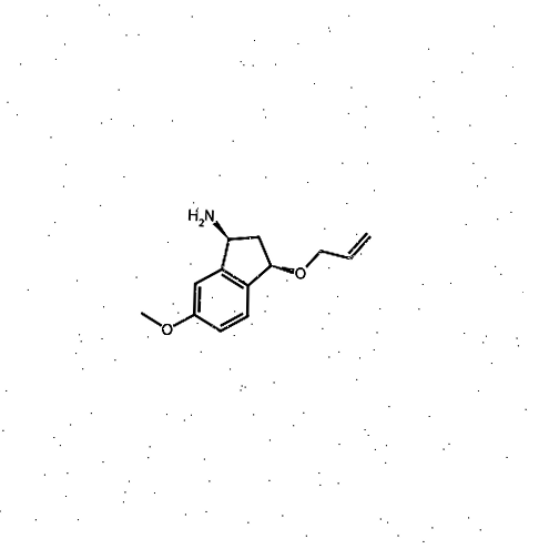 C=CCO[C@@H]1C[C@H](N)c2cc(OC)ccc21